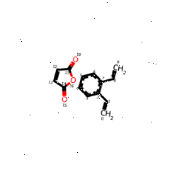 C=Cc1ccccc1C=C.O=C1C=CC(=O)O1